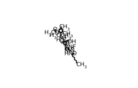 CCCCCCC(=O)Nc1nc(F)nc2c1ncn2[C@H]1C[C@H](OC(=O)CC(C)(C)c2c(C)cc(C)cc2OC(C)=O)[C@@](C)(CO)O1